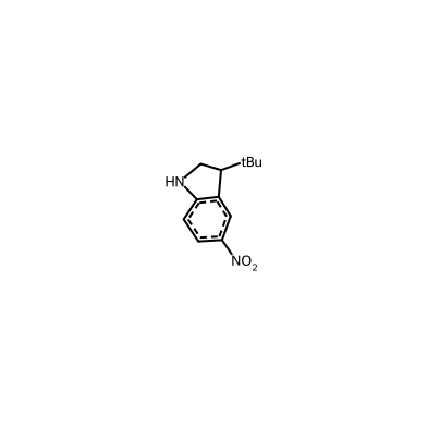 CC(C)(C)C1CNc2ccc([N+](=O)[O-])cc21